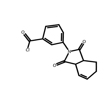 O=C(Cl)c1cccc(N2C(=O)C3C=CCCC3C2=O)c1